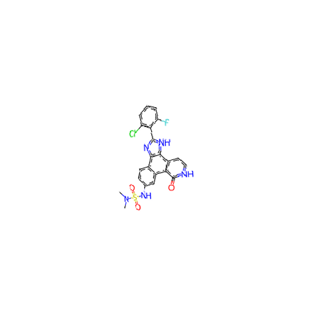 CN(C)S(=O)(=O)Nc1ccc2c(c1)c1c(=O)[nH]ccc1c1[nH]c(-c3c(F)cccc3Cl)nc21